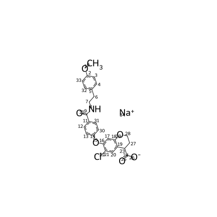 COc1ccc(CCNC(=O)c2ccc(Oc3cc4c(cc3Cl)C(C(=O)[O-])CCO4)cc2)cc1.[Na+]